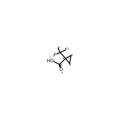 CC(F)(F)C1(C(=O)O)CC1